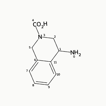 NC1CN(C(=O)O)Cc2ccccc21